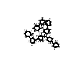 c1ccc(-c2ccc(N(c3ccc(-c4cccc5c4oc4ccccc45)cc3)c3ccc(-c4ccccc4)c(-n4c5ccccc5c5cccnc54)c3)cc2)cc1